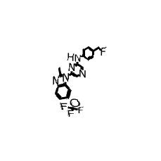 Cc1nc2ccc(OC(F)(F)F)cc2n1-c1cncc(Nc2ccc(CF)cc2)n1